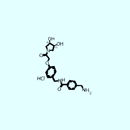 Cl.NCc1ccc(C(=O)NCc2ccc(OCC(=O)N3C[C@@H](O)[C@@H](O)C3)cc2)cc1